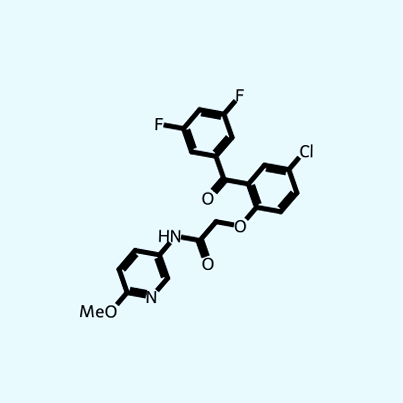 COc1ccc(NC(=O)COc2ccc(Cl)cc2C(=O)c2cc(F)cc(F)c2)cn1